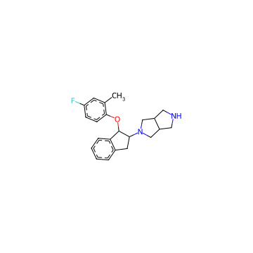 Cc1cc(F)ccc1OC1c2ccccc2CC1N1CC2CNCC2C1